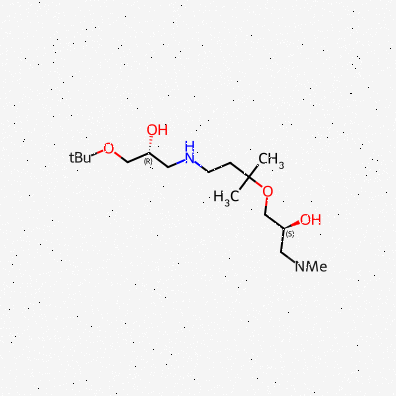 CNC[C@H](O)COC(C)(C)CCNC[C@@H](O)COC(C)(C)C